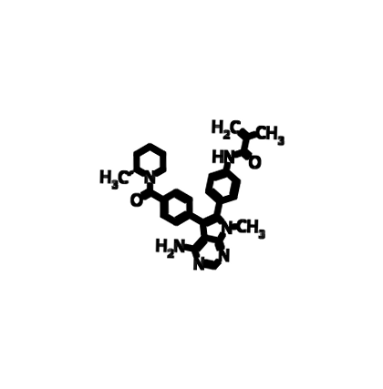 C=C(C)C(=O)Nc1ccc(-c2c(-c3ccc(C(=O)N4CCCC[C@H]4C)cc3)c3c(N)ncnc3n2C)cc1